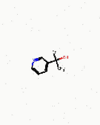 [CH2]C(O)(CC)c1cccnc1